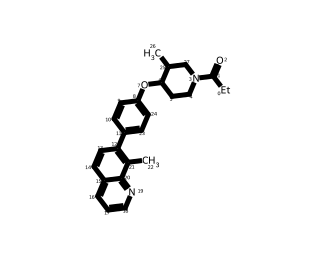 CCC(=O)N1CCC(Oc2ccc(-c3ccc4cccnc4c3C)cc2)C(C)C1